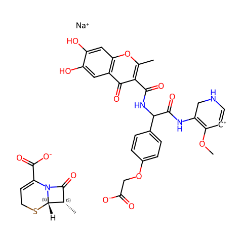 COC1=C(NC(=O)C(NC(=O)c2c(C)oc3cc(O)c(O)cc3c2=O)c2ccc(OCC(=O)[O-])cc2)CNC=[C+]1.C[C@H]1C(=O)N2C(C(=O)[O-])=CCS[C@@H]12.[Na+]